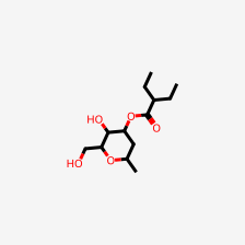 CCC(CC)C(=O)OC1CC(C)OC(CO)C1O